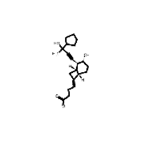 CC(O)(C#C[C@@H]1[C@H]2C/C(=C\CCC(=O)O)[C@H]2CC[C@H]1O)C1CCCC1